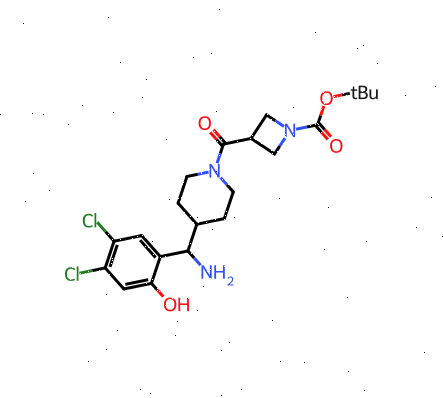 CC(C)(C)OC(=O)N1CC(C(=O)N2CCC(C(N)c3cc(Cl)c(Cl)cc3O)CC2)C1